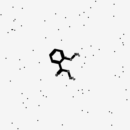 NOC(=O)c1ccccc1ON